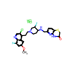 COc1cc(F)c2ncc(Cl)c(CCN3CCC(NCc4ccc5c(n4)NC(=O)CS5)C(F)C3)c2c1.Cl.Cl